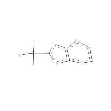 CC(=O)[C]([Ir])(C(C)=O)c1nc2ccccc2[nH]1